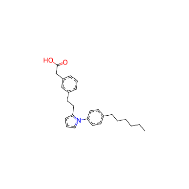 CCCCCCc1ccc(-n2cccc2CCc2cccc(CC(=O)O)c2)cc1